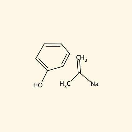 C=[C](C)[Na].Oc1ccccc1